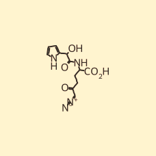 [N-]=[N+]=CC(=O)CCC(NC(=O)C(O)c1ccc[nH]1)C(=O)O